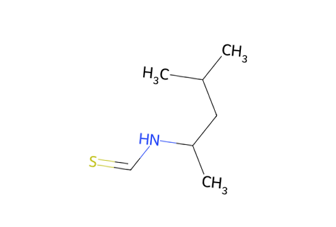 CC(C)CC(C)NC=S